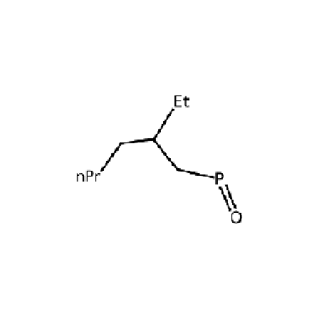 CCCCC(CC)CP=O